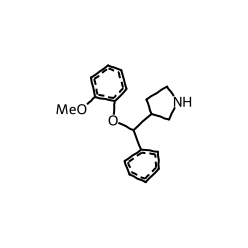 COc1ccccc1OC(c1ccccc1)C1CCNC1